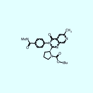 CNC(=O)c1ccc(-n2c([C@@H]3CCCN3C(=O)OC(C)(C)C)nc3cnc(C)cc3c2=O)cc1